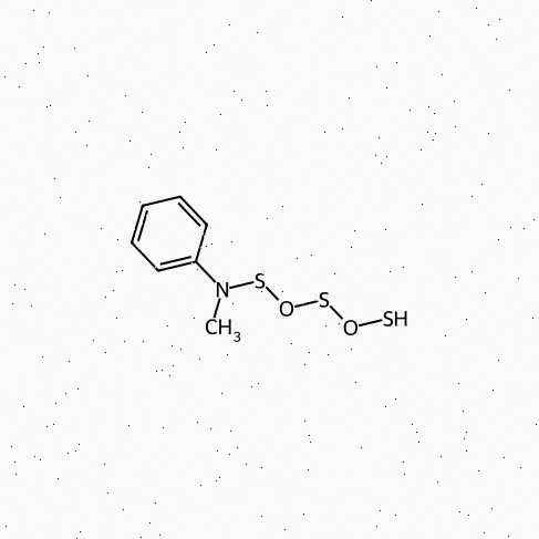 CN(SOSOS)c1ccccc1